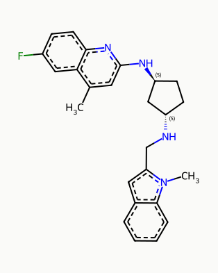 Cc1cc(N[C@H]2CC[C@H](NCc3cc4ccccc4n3C)C2)nc2ccc(F)cc12